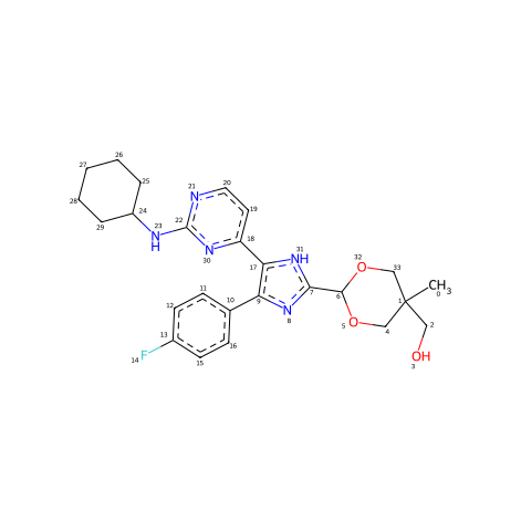 CC1(CO)COC(c2nc(-c3ccc(F)cc3)c(-c3ccnc(NC4CCCCC4)n3)[nH]2)OC1